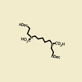 CCCCCCCCCCCCN(CCCCCN(CCCCCCCCCCCC)C(=O)O)C(=O)O